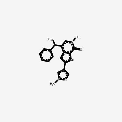 CC(c1ccccc1)c1cn(C)c(=O)c2[nH]c(-c3cnn(C)c3)cc12